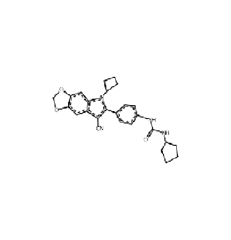 N#Cc1c(-c2ccc(NC(=O)NC3CCCC3)cc2)n(C2CCC2)c2cc3c(cc12)OCO3